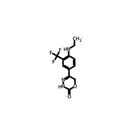 [CH2]CNc1ccc(C2=NNC(=O)OC2)cc1C(F)(F)F